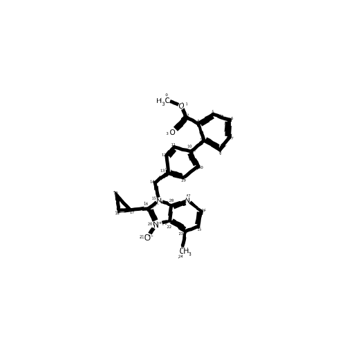 COC(=O)c1ccccc1-c1ccc(Cn2c(C3CC3)[n+]([O-])c3c(C)ccnc32)cc1